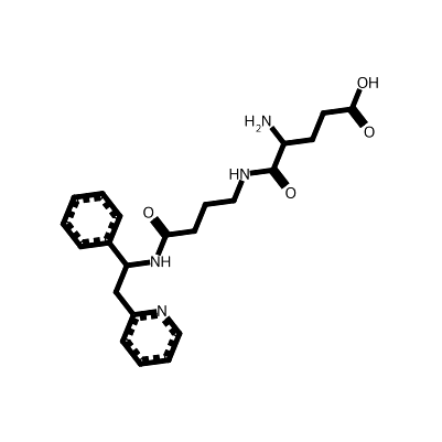 NC(CCC(=O)O)C(=O)NCCCC(=O)NC(Cc1ccccn1)c1ccccc1